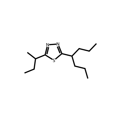 CCCC(CCC)c1nnc(C(C)CC)s1